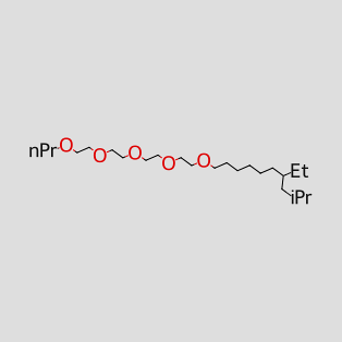 CCCOCCOCCOCCOCCOCCCCCCC(CC)CC(C)C